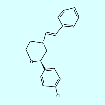 Clc1ccc([C@@H]2CN(C=Cc3ccccc3)CCO2)cc1